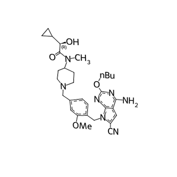 CCCCOc1nc(N)c2cc(C#N)n(Cc3ccc(CN4CCC(N(C)C(=O)[C@H](O)C5CC5)CC4)cc3OC)c2n1